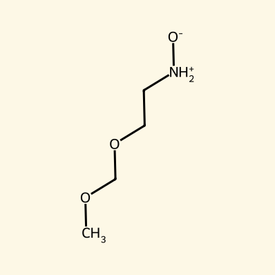 COCOCC[NH2+][O-]